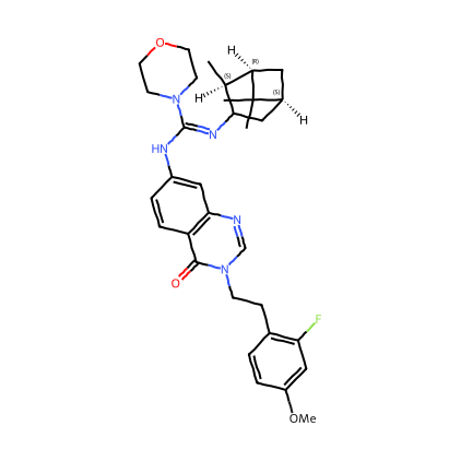 COc1ccc(CCn2cnc3cc(NC(=NC4C[C@@H]5C[C@H]([C@@H]4C)C5(C)C)N4CCOCC4)ccc3c2=O)c(F)c1